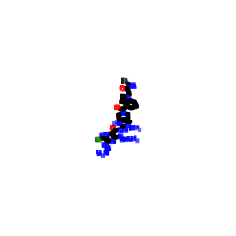 CCNC(=O)Cn1ccc2c(C(=O)N3CCC4(CC3)CN(N)C(NC(=O)C3NC(Cl)=C(N=NN)N=C3N=NN)N4)cccc21